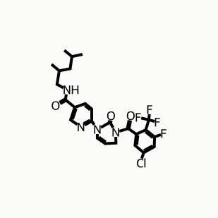 CC(C)CC(C)CNC(=O)c1ccc(N2C=CCN(C(=O)c3cc(Cl)cc(F)c3C(F)(F)F)C2=O)nc1